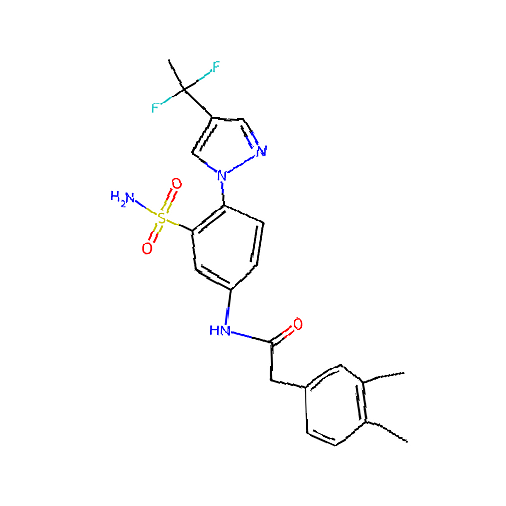 Cc1ccc(CC(=O)Nc2ccc(-n3cc(C(C)(F)F)cn3)c(S(N)(=O)=O)c2)cc1C